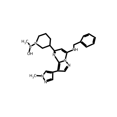 CB(O)N1CCCC(c2cc(NCc3ccccc3)n3ncc(-c4cnn(C)c4)c3n2)C1